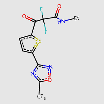 CCNC(=O)C(F)(F)C(=O)c1ccc(-c2noc(C(F)(F)F)n2)s1